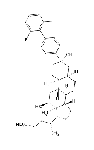 C[C@H](CCC(=O)O)[C@H]1CC[C@H]2[C@@H]3CC[C@@H]4C[C@](O)(c5ccc(-c6c(F)cccc6F)cc5)CC[C@]4(C)[C@H]3C[C@H](O)[C@]12C